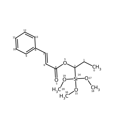 CCC(OC(=O)C=Cc1ccccc1)[Si](OC)(OC)OC